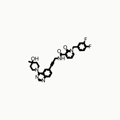 CC1(O)CCN(c2ncnc3ccc(C#CCNC(=O)c4cccn(Cc5ccc(F)c(F)c5)c4=O)cc23)CC1